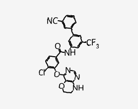 N#Cc1cccc(-c2cc(NC(=O)c3ccc(Cl)c(Oc4ncnc5c4OCCN5)c3)cc(C(F)(F)F)c2)c1